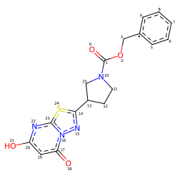 O=C(OCc1ccccc1)N1CCC(c2nn3c(=O)cc(O)nc3s2)C1